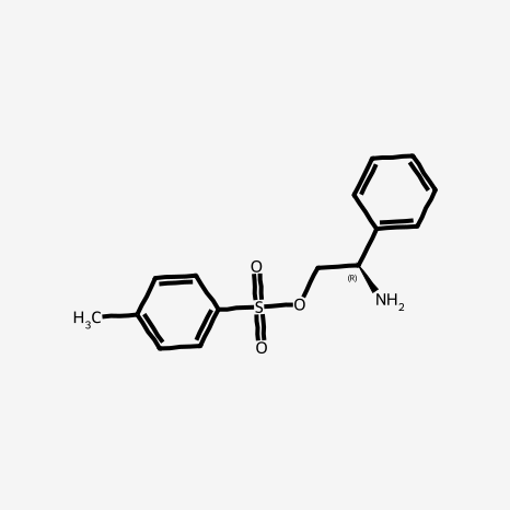 Cc1ccc(S(=O)(=O)OC[C@H](N)c2ccccc2)cc1